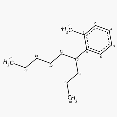 [CH2]c1ccccc1C(CCC)CCCCC